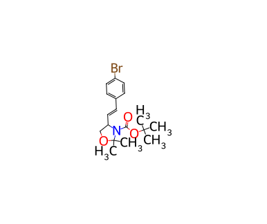 CC(C)(C)OC(=O)N1C(C=Cc2ccc(Br)cc2)COC1(C)C